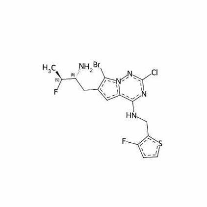 C[C@H](F)[C@H](N)Cc1cc2c(NCc3sccc3F)nc(Cl)nn2c1Br